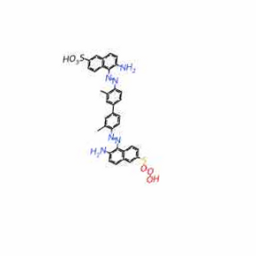 Cc1cc(-c2ccc(N=Nc3c(N)ccc4cc(S(=O)(=O)O)ccc34)c(C)c2)ccc1N=Nc1c(N)ccc2cc(SOOO)ccc12